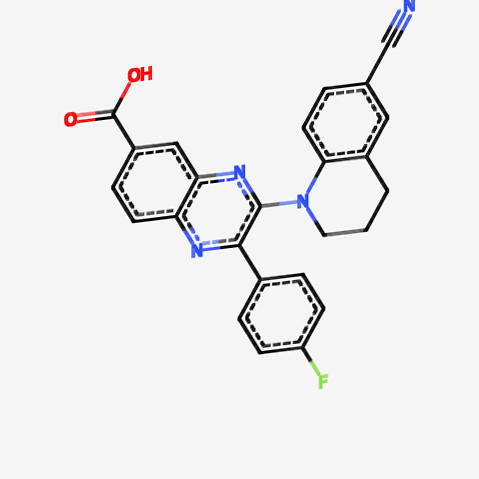 N#Cc1ccc2c(c1)CCCN2c1nc2cc(C(=O)O)ccc2nc1-c1ccc(F)cc1